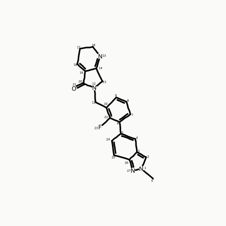 Cn1cc2cc(-c3cccc(CN4CC5=NCCC=C5C4=O)c3F)ccc2n1